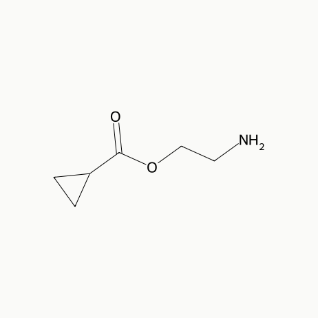 NCCOC(=O)C1CC1